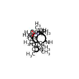 CC[C@H]1OC(=O)[C@H](C)C(=O)[C@H](C)[C@@H](O[C@@H]2O[C@H](C)C[C@H](N(C)C)[C@H]2O)[C@@]2(C)C[C@@H](C)/C(=N\C(C)=O)[C@H](C)[C@@H](CCC(=N)CO2)[C@]1(C)O